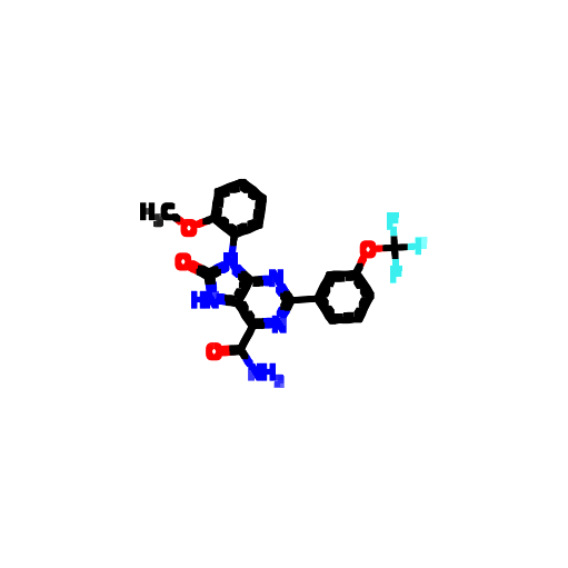 COc1ccccc1-n1c(=O)[nH]c2c(C(N)=O)nc(-c3cccc(OC(F)(F)F)c3)nc21